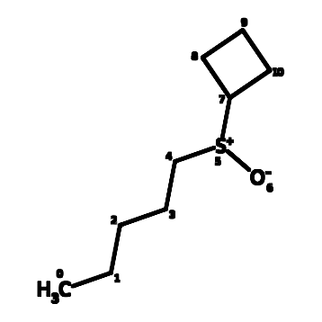 CCCCC[S+]([O-])C1CCC1